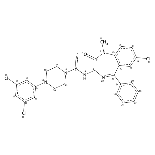 CN1C(=O)C(NC(=S)N2CCN(c3cc(Cl)cc(Cl)c3)CC2)N=C(c2ccccc2)c2cc(Cl)ccc21